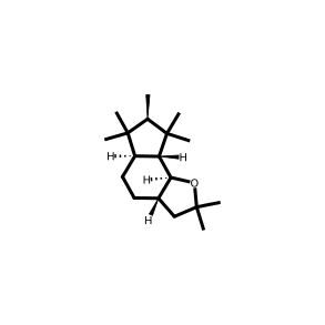 C[C@H]1C(C)(C)[C@@H]2[C@H]3OC(C)(C)C[C@@H]3CC[C@H]2C1(C)C